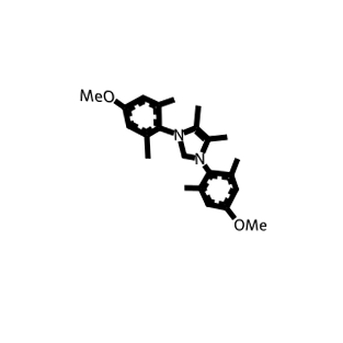 COc1cc(C)c(N2CN(c3c(C)cc(OC)cc3C)C(C)=C2C)c(C)c1